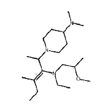 CC/C(C)=C(/C(C)N1CCC(N(C)C)CC1)N(CC)CC(C)OC